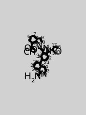 COC(=O)c1cccc2ccn(Cc3nn(C4CCOC4)c4ccc(-c5cccc6c(N)nccc56)cc34)c12